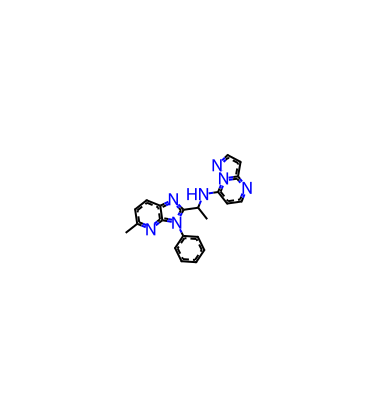 Cc1ccc2nc(C(C)Nc3ccnc4ccnn34)n(-c3ccccc3)c2n1